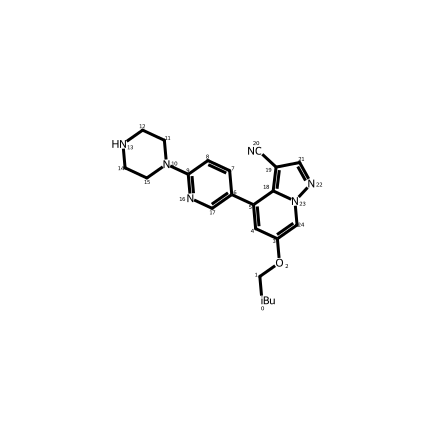 CCC(C)COc1cc(-c2ccc(N3CCNCC3)nc2)c2c(C#N)cnn2c1